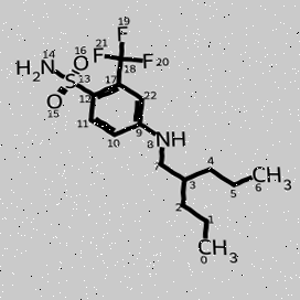 CCCC(CCC)CNc1ccc(S(N)(=O)=O)c(C(F)(F)F)c1